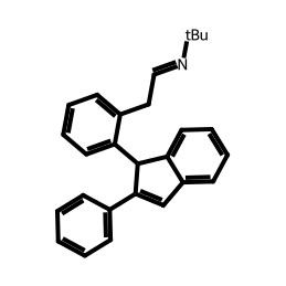 CC(C)(C)N=CCc1ccccc1C1C(c2ccccc2)=Cc2ccccc21